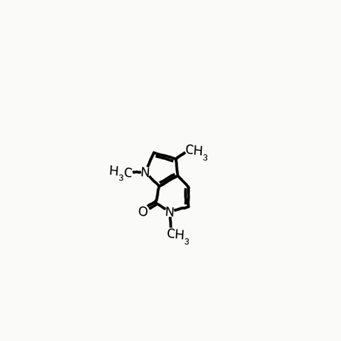 Cc1cn(C)c2c(=O)n(C)ccc12